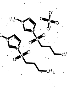 CCCCS(=O)(=O)[n+]1ccn(C)c1.CCCCS(=O)(=O)[n+]1ccn(C)c1.O=S(=O)([O-])[O-]